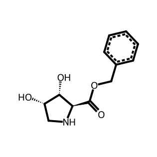 O=C(OCc1ccccc1)[C@H]1NC[C@H](O)[C@@H]1O